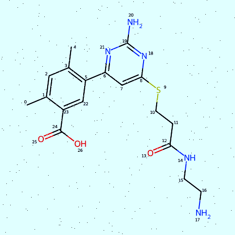 Cc1cc(C)c(-c2cc(SCCC(=O)NCCN)nc(N)n2)cc1C(=O)O